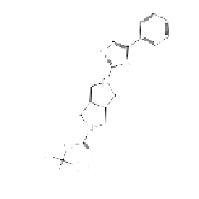 CC(C)(C)OC(=O)N1CC2CN(c3ncc(-c4ccccc4)s3)CC2C1